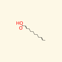 CC=CCCCCCCC=CC(=O)O